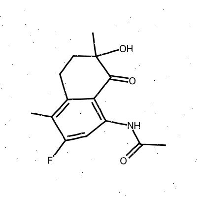 CC(=O)Nc1cc(F)c(C)c2c1C(=O)C(C)(O)CC2